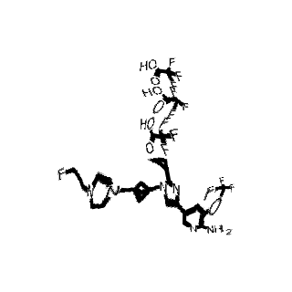 Nc1ncc(-c2cn(C34CC(N5CCN(CCF)CC5)(C3)C4)c(C3CC3)n2)cc1OC(F)(F)F.O=C(O)C(F)(F)F.O=C(O)C(F)(F)F.O=C(O)C(F)(F)F